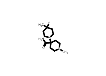 CN1CCC(C(N)=O)(N2CCC(C)(F)CC2)CC1